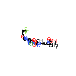 Cc1c(S(=O)(=O)NC(=O)c2ccc(-n3ccc(OCCC4CC4C(F)(F)F)n3)nc2Cl)cnn1CCCCC1CN(C(=O)O)C(C)(C)C1